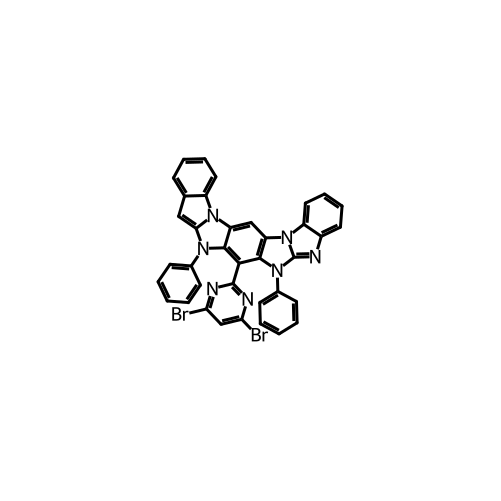 Brc1cc(Br)nc(-c2c3c(cc4c2n(-c2ccccc2)c2nc5ccccc5n42)n2c4ccccc4cc2n3-c2ccccc2)n1